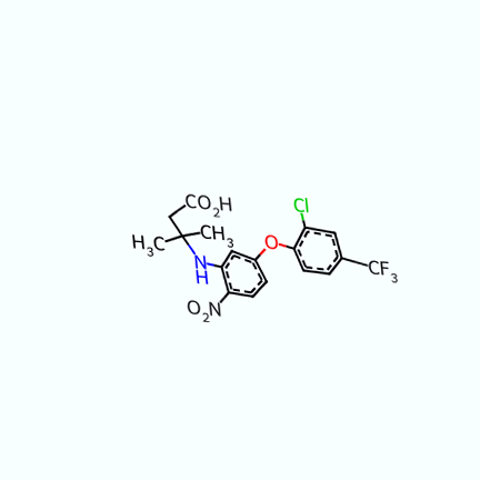 CC(C)(CC(=O)O)Nc1cc(Oc2ccc(C(F)(F)F)cc2Cl)ccc1[N+](=O)[O-]